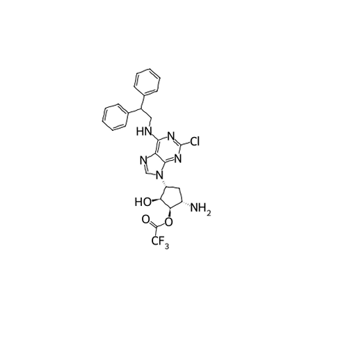 N[C@H]1C[C@@H](n2cnc3c(NCC(c4ccccc4)c4ccccc4)nc(Cl)nc32)[C@H](O)[C@@H]1OC(=O)C(F)(F)F